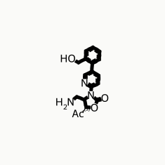 CC(=O)[C@H]1OC(=O)N(c2ccc(-c3ccccc3CO)cn2)C1CN